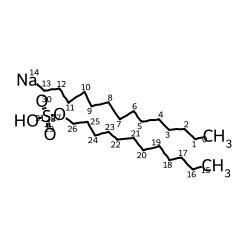 CCCCCCCCCCCCC[CH2][Na].CCCCCCCCCCCCOS(=O)(=O)O